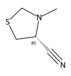 CN1CSC[C@H]1C#N